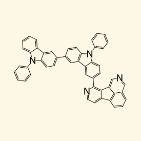 c1ccc(-n2c3ccccc3c3cc(-c4ccc5c(c4)c4cc(-c6nccc7c6-c6cncc8cccc-7c68)ccc4n5-c4ccccc4)ccc32)cc1